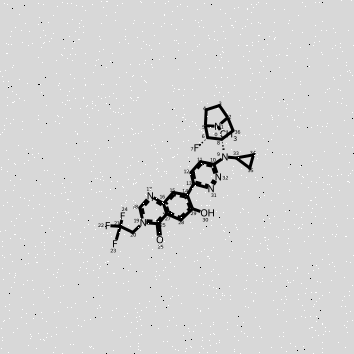 CN1C2CCC1[C@@H](F)[C@@H](N(c1ccc(-c3cc4ncn(CC(F)(F)F)c(=O)c4cc3O)nn1)C1CC1)C2